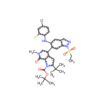 CCS(=O)(=O)n1ncc2cc(Nc3ccc(Cl)cc3F)c(-c3cn(C)c(=O)c4c3cc(C(C)(C)C)n4C(=O)OC(C)(C)C)cc21